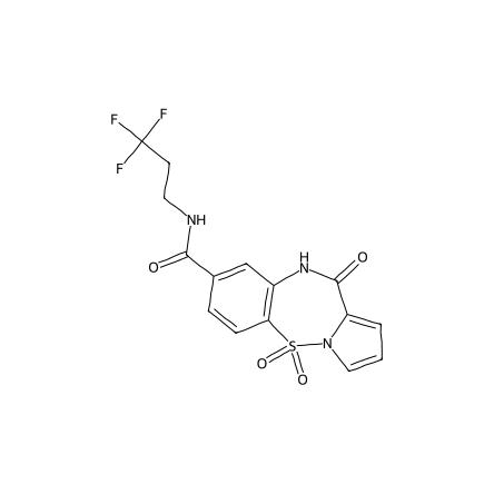 O=C(NCCC(F)(F)F)c1ccc2c(c1)NC(=O)c1cccn1S2(=O)=O